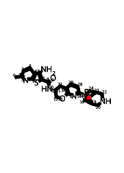 Cc1ccc2c(N)c(C(=O)N[C@H]3COc4nc(N5CC6CNCC(C5)C6(F)F)ccc4C3)sc2n1